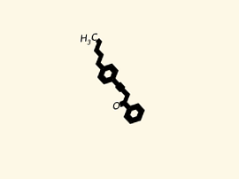 CCCCCc1ccc(C#CCC(=O)c2ccccc2)cc1